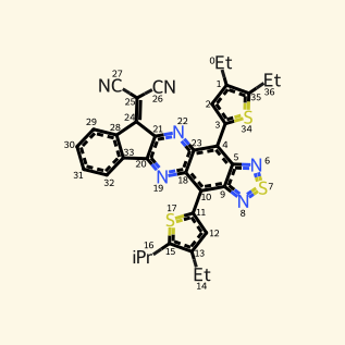 CCc1cc(-c2c3nsnc3c(-c3cc(CC)c(C(C)C)s3)c3nc4c(nc23)C(=C(C#N)C#N)c2ccccc2-4)sc1CC